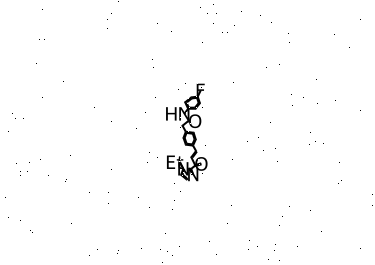 CCn1ccnc1C(=O)C=Cc1ccc(CC(=O)Nc2ccc(F)cc2)cc1